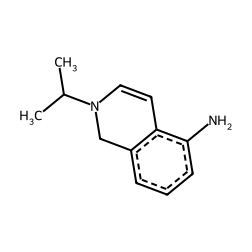 CC(C)N1C=Cc2c(N)cccc2C1